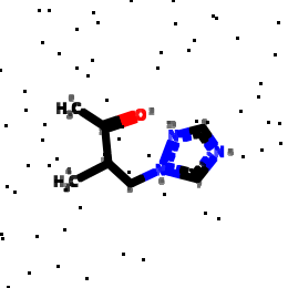 CC(=O)C(C)Cn1cncn1